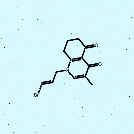 Cc1cn(C/C=C/Br)c2c(c1=O)C(=O)CCC2